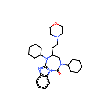 O=C1N(C2CCCCC2)CC(CCN2CCOCC2)N(C2CCCCC2)c2nc3ccccc3n21